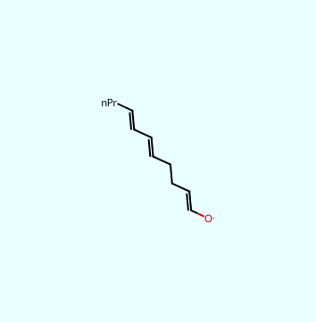 CCCC=CC=CCCC=C[O]